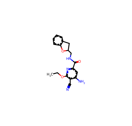 CCOc1nc(C(=O)NCC2Cc3ccccc3O2)cc(N)c1C#N